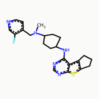 CN(Cc1ccncc1F)C1CCC(Nc2ncnc3sc4c(c23)CCC4)CC1